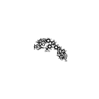 COC(=O)NC(C(=O)N1[C@H](c2nc3cc([C@H]4CC[C@H](c5ccc6[nH]c([C@@H]7CCC(C)(C)N7C(=O)[C@@H](NC(=O)OC)C(C)C)nc6c5)N4c4ccc(C(C)(C)C)cc4)ccc3[nH]2)CCC1(C)C)C(C)C